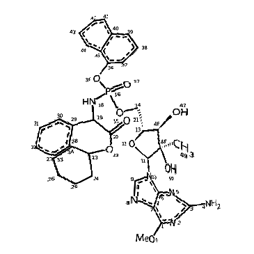 COc1nc(N)nc2c1ncn2C1O[C@H](COP(=O)(NC(C(=O)OC2CCCCC2)c2ccccc2)Oc2cccc3ccccc23)[C@@H](O)[C@@]1(C)O